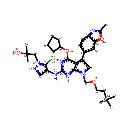 Cc1nc2ccc(-c3cn(COCC[Si](C)(C)C)c4nc(Nc5cnn(CC(C)(C)O)c5Cl)nc(OC5CCCC5)c34)cc2o1